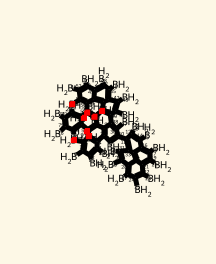 Bc1c(B)c(B)c(-c2c(B)c(-c3c(B)c(B)c4c(B)c(B)c5c(B)c(B)c(B)c6c(B)c(B)c3c4c56)c(B)c(-c3c(B)c(B)c4c(B)c(B)c5c(B)c(B)c(B)c6c(B)c(B)c3c4c56)c2-c2c(B)c(B)c3c(B)c(B)c(B)c(B)c3c2B)c(B)c1B